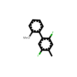 COc1ccccc1-c1cc(F)c(C)cc1F